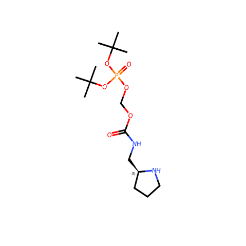 CC(C)(C)OP(=O)(OCOC(=O)NC[C@@H]1CCCN1)OC(C)(C)C